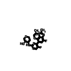 Cc1nc2c(F)cc(-c3nc(N[C@@H]4CCOC[C@H]4O)ncc3F)c3c2n1[C@@H](C)CO3